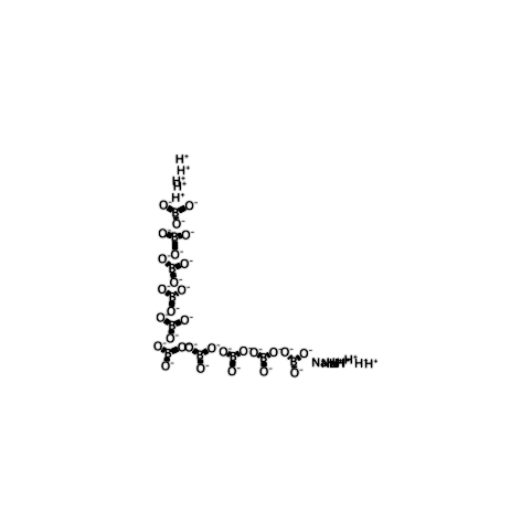 [H+].[H+].[H+].[H+].[H+].[H+].[H+].[H+].[H+].[H+].[NaH].[NaH].[O-]B([O-])[O-].[O-]B([O-])[O-].[O-]B([O-])[O-].[O-]B([O-])[O-].[O-]B([O-])[O-].[O-]B([O-])[O-].[O-]B([O-])[O-].[O-]B([O-])[O-].[O-]B([O-])[O-].[O-]B([O-])[O-]